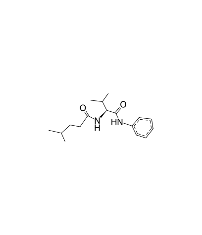 CC(C)CCC(=O)N[C@H](C(=O)Nc1ccccc1)C(C)C